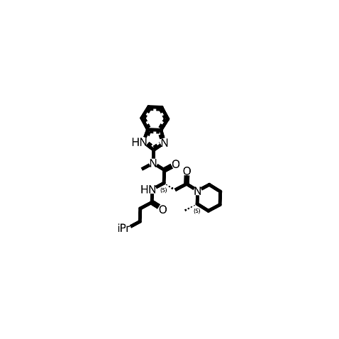 CC(C)CCC(=O)N[C@@H](CC(=O)N1CCCC[C@@H]1C)C(=O)N(C)c1nc2ccccc2[nH]1